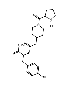 COC(=O)C(Cc1ccc(O)cc1)NC(=O)CC1CCN(C(=O)C2CCCN2C)CC1